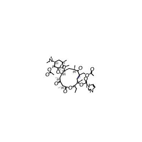 CC[C@H]1OC(=O)[C@H](C)C(=O)[C@H](C)[C@@H](O[C@@H]2O[C@H](C)C[C@H](N(C)C)[C@H]2OC(C)=O)[C@@](C)(OC)C[C@@H](C)C(=O)/C(COC(C)=O)=C/[C@]1(C)OC(=O)n1ccnc1